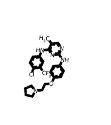 Cc1cnc(Nc2ccc(OCCN3CCCC3)cc2)nc1Nc1ccc(Cl)c(C(F)(F)F)c1